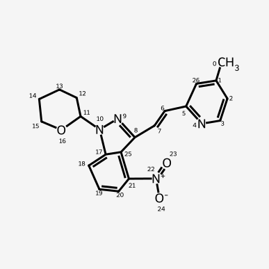 Cc1ccnc(C=Cc2nn(C3CCCCO3)c3cccc([N+](=O)[O-])c23)c1